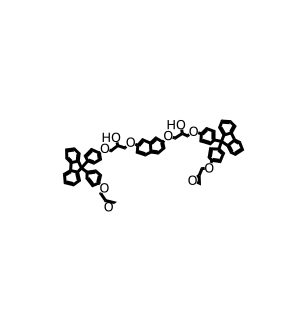 OC(COc1ccc(C2(c3ccc(OCC4CO4)cc3)c3ccccc3-c3ccccc32)cc1)COc1ccc2ccc(OCC(O)COc3ccc(C4(c5ccc(OCC6CO6)cc5)c5ccccc5-c5ccccc54)cc3)cc2c1